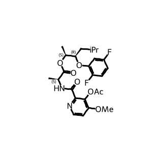 COc1ccnc(C(=O)N[C@@H](C)C(=O)O[C@@H](C)[C@@H](CC(C)C)Oc2cc(F)ccc2F)c1OC(C)=O